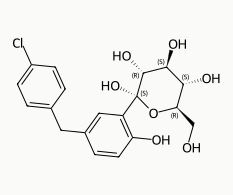 OC[C@H]1O[C@@](O)(c2cc(Cc3ccc(Cl)cc3)ccc2O)[C@H](O)[C@@H](O)[C@@H]1O